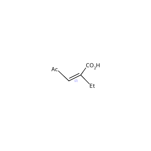 CC/C(=C/C(C)=O)C(=O)O